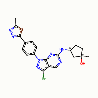 Cc1nnc(-c2ccc(-n3nc(Br)c4cnc(N[C@@H]5CC[C@@](C)(O)C5)nc43)cc2)s1